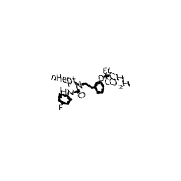 CCCCCCCN(CCc1cccc(OC(C)(CC)C(=O)O)c1)C(=O)Nc1ccc(F)cc1